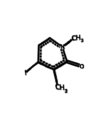 Cc1c(I)ccn(C)c1=O